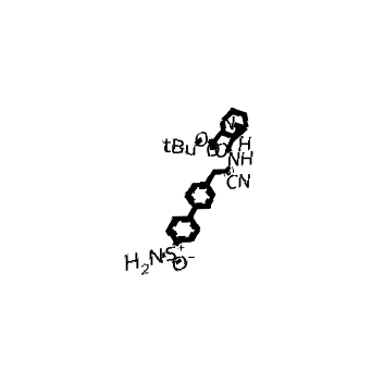 CC(C)(C)OC(=O)N1C2CCC(CC2)[C@H]1C(=O)N[C@H](C#N)Cc1ccc(-c2ccc([S+](N)[O-])cc2)cc1